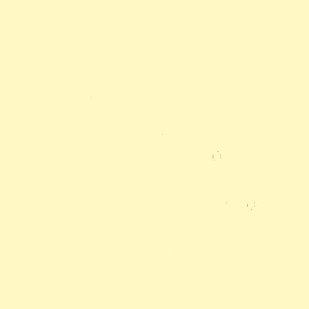 C=CC.C=CC.C=CC.C=CC.CCC(OC)OC